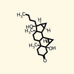 CCCC[C@]1(O)[C@H]2C[C@H]2C2C3C(CC[C@@]21C)[C@@]1(C)CCC(=O)C[C@@]1(O)[C@@H]1C[C@H]31